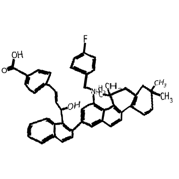 CC1(C)C=CC2=C(C1)CC(C)(C)c1c2ccc2cc(-c3ccc4ccccc4c3C(O)C=Cc3ccc(C(=O)O)cc3)cc(NCc3ccc(F)cc3)c12